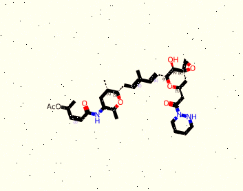 CC(=O)OC(C)/C=C\C(=O)NC1C[C@H](C)[C@H](C/C=C(C)/C=C/[C@H]2O[C@H](CC(=O)N3CCCCN3)C[C@@]3(CO3)[C@@H]2O)OC1C